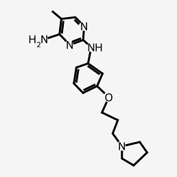 Cc1cnc(Nc2cccc(OCCCN3CCCC3)c2)nc1N